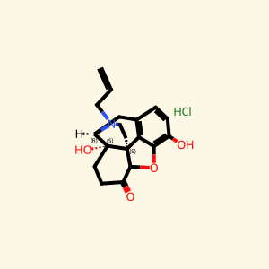 C=CCN1CC[C@]23c4c5ccc(O)c4OC2C(=O)CC[C@@]3(O)[C@H]1C5.Cl